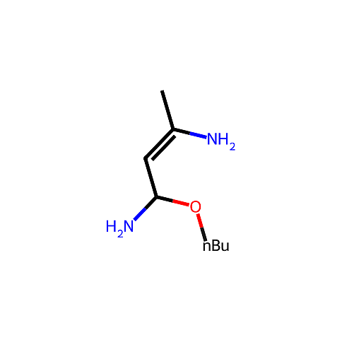 CCCCOC(N)/C=C(/C)N